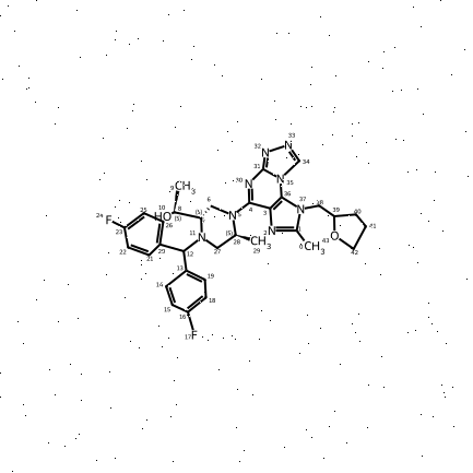 Cc1nc2c(N3C[C@@H]([C@H](C)O)N(C(c4ccc(F)cc4)c4ccc(F)cc4)C[C@@H]3C)nc3nncn3c2n1CC1CCCO1